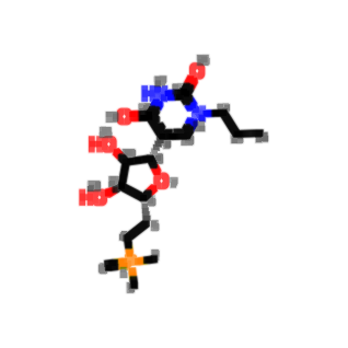 C=P(C)(C)CC[C@H]1O[C@@H](c2cn(CCC)c(=O)[nH]c2=O)C(O)[C@@H]1O